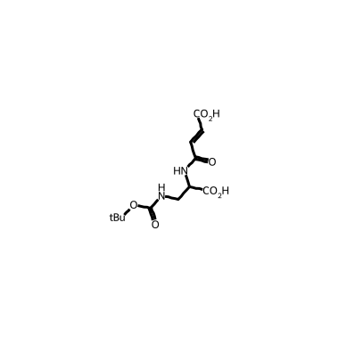 CC(C)(C)OC(=O)NCC(NC(=O)C=CC(=O)O)C(=O)O